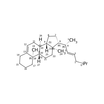 CC(C)CC=C[C@@H](C)[C@H]1CC[C@H]2[C@@H]3CC=C4CCCC[C@]4(C)[C@H]3CC[C@]12C